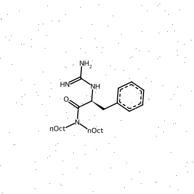 CCCCCCCCN(CCCCCCCC)C(=O)[C@H](Cc1ccccc1)NC(=N)N